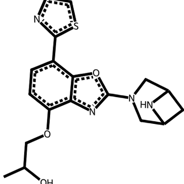 CC(O)COc1ccc(-c2nccs2)c2oc(N3CC4CC(C3)N4)nc12